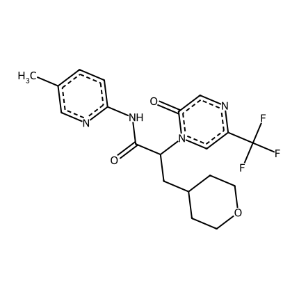 Cc1ccc(NC(=O)C(CC2CCOCC2)n2cc(C(F)(F)F)ncc2=O)nc1